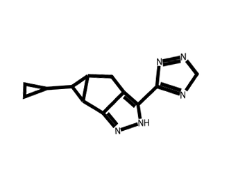 C1N=NC(c2[nH]nc3c2CC2C3C2C2CC2)=N1